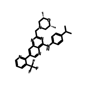 CC(C)c1ccc(Nc2nc(CN3C[C@@H](C)O[C@@H](C)C3)nc3cc(-c4ncccc4C(F)(F)F)cnc23)cc1